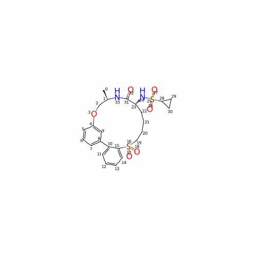 C[C@@H]1COc2cccc(c2)-c2ccccc2S(=O)(=O)CCCC[C@H](NS(=O)(=O)C2CC2)C(=O)N1